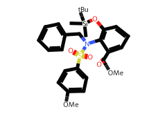 COC(=O)c1cccc(O[Si](C)(C)C(C)(C)C)c1N(Cc1ccccc1)S(=O)(=O)c1ccc(OC)cc1